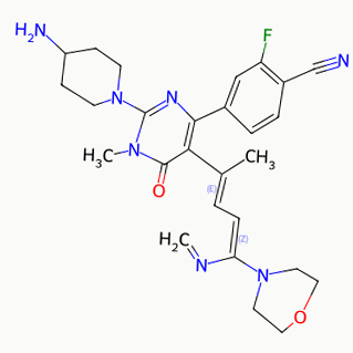 C=N/C(=C\C=C(/C)c1c(-c2ccc(C#N)c(F)c2)nc(N2CCC(N)CC2)n(C)c1=O)N1CCOCC1